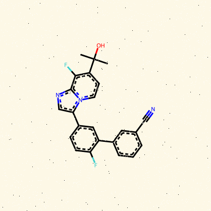 CC(C)(O)c1ccn2c(-c3ccc(F)c(-c4cccc(C#N)c4)c3)cnc2c1F